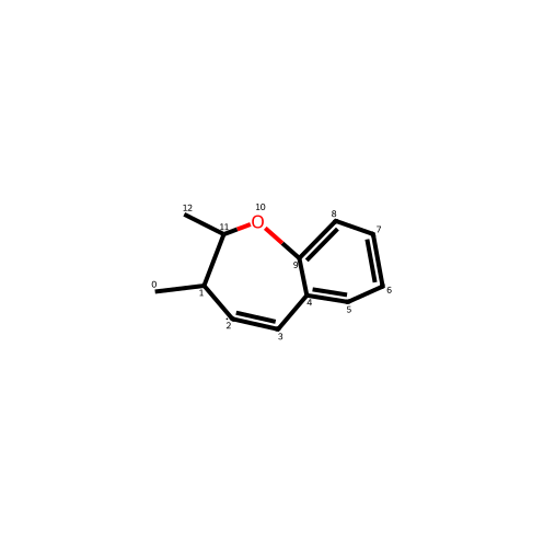 CC1[C]=Cc2ccccc2OC1C